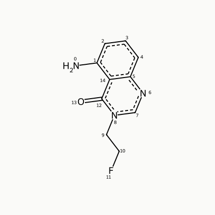 Nc1cccc2ncn(CCF)c(=O)c12